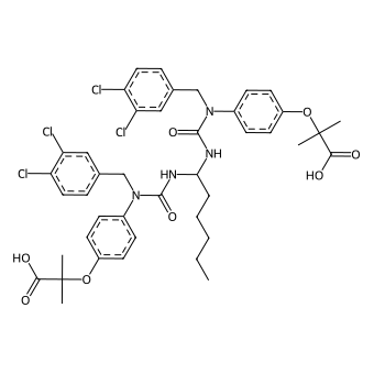 CCCCCC(NC(=O)N(Cc1ccc(Cl)c(Cl)c1)c1ccc(OC(C)(C)C(=O)O)cc1)NC(=O)N(Cc1ccc(Cl)c(Cl)c1)c1ccc(OC(C)(C)C(=O)O)cc1